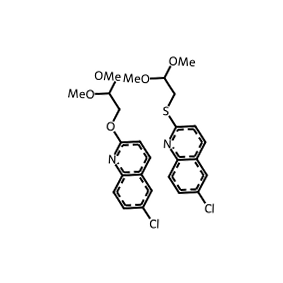 COC(COc1ccc2cc(Cl)ccc2n1)OC.COC(CSc1ccc2cc(Cl)ccc2n1)OC